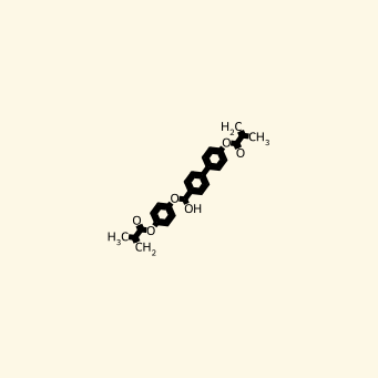 C=C(C)C(=O)Oc1ccc(OC(O)c2ccc(-c3ccc(OC(=O)C(=C)C)cc3)cc2)cc1